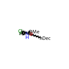 CCCCCCCCCCCCCCCCCCOC[C@H](COC)NCc1ccc(F)c(Cl)c1